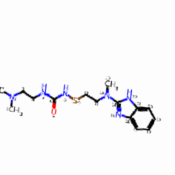 CN(C)CCNC(=O)NSCCN(C)c1nc2ccccc2[nH]1